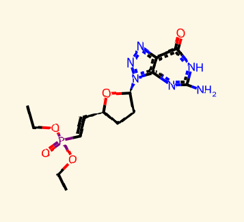 CCOP(=O)(/C=C/[C@@H]1CC[C@H](n2nnc3c(=O)[nH]c(N)nc32)O1)OCC